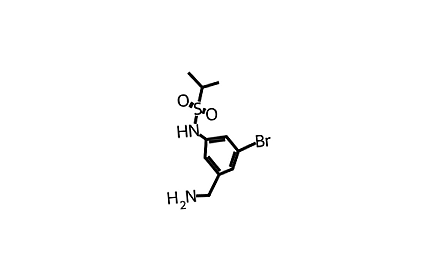 CC(C)S(=O)(=O)Nc1cc(Br)cc(CN)c1